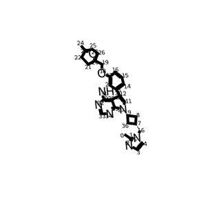 Cc1nccn1C[C@H]1C[C@@H](n2cc(-c3cccc(OCC45CCC(C)(CC4)O5)c3)c3c(N)ncnc32)C1